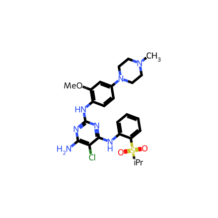 COc1cc(N2CCN(C)CC2)ccc1Nc1nc(N)c(Cl)c(Nc2ccccc2S(=O)(=O)C(C)C)n1